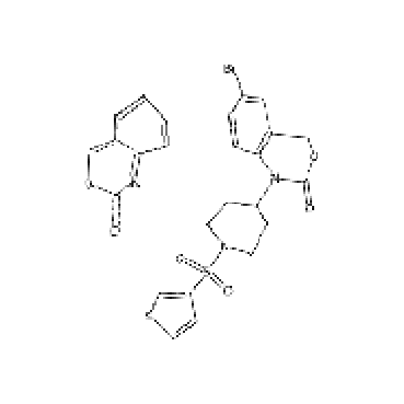 O=C1OCc2cc(Br)ccc2N1C1CCN(S(=O)(=O)c2ccsc2)CC1.O=c1nc2ccccc2co1